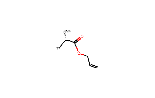 C=CCOC(=O)[C@@H](NC)C(C)C